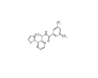 C[C@@H](NC(=O)c1cc(C(F)(F)F)cc(C(F)(F)F)c1)c1nccnc1-c1nccs1